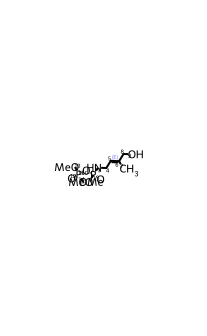 COP(=O)(NC/C=C(\C)CO)OP(=O)(OC)OC